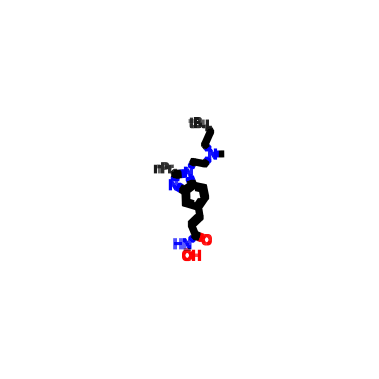 CCCc1nc2cc(C=CC(=O)NO)ccc2n1CCN(C)CCC(C)(C)C